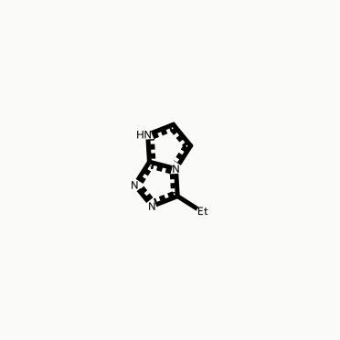 CCc1nnc2[nH]ccn12